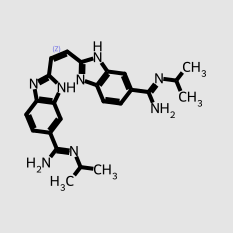 CC(C)N=C(N)c1ccc2nc(/C=C\c3nc4ccc(C(N)=NC(C)C)cc4[nH]3)[nH]c2c1